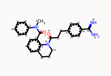 CN(C(=O)c1cccc2c1N(C(=O)CCc1ccc(C(=N)N)cc1)CCC2)c1ccccc1